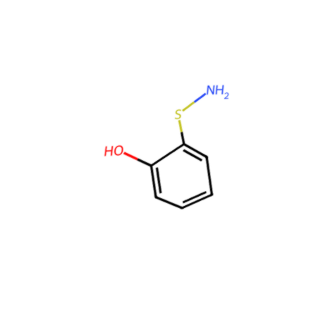 NSc1ccccc1O